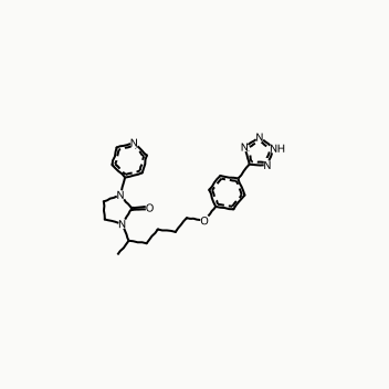 CC(CCCCOc1ccc(-c2nn[nH]n2)cc1)N1CCN(c2ccncc2)C1=O